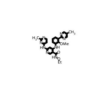 CCONC(=O)c1cnc(Nc2ccnc(C)n2)cc1Nc1cccc(-c2ncc(C)cn2)c1OC